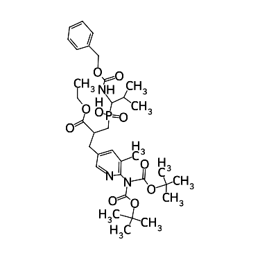 CCOC(=O)C(Cc1cnc(N(C(=O)OC(C)(C)C)C(=O)OC(C)(C)C)c(C)c1)CP(=O)(O)C(NC(=O)OCc1ccccc1)C(C)C